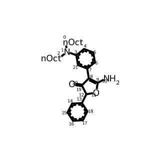 CCCCCCCCN(CCCCCCCC)c1cccc(C2=C(N)OC(c3ccccc3)C2=O)c1